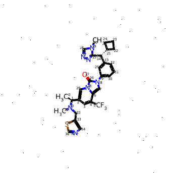 C[C@@H](c1cc(C(F)(F)F)c2cn(-c3cccc([C@H](c4nncn4C)C4CCC4)c3)c(=O)n2c1)N(C)Cc1cncs1